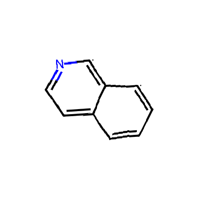 [c]1cccc2ccn[c]c12